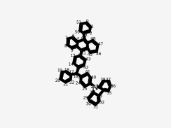 c1ccc(-c2c3ccccc3c(-c3ccc(C(c4ccccc4)c4ccc(-n5c6ccccc6c6ccccc65)cc4)cc3)c3ccccc23)cc1